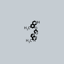 Cc1cc2c(c(OC3COC(n4ccc5c(C)ncnc54)C3)c1)CNCC2